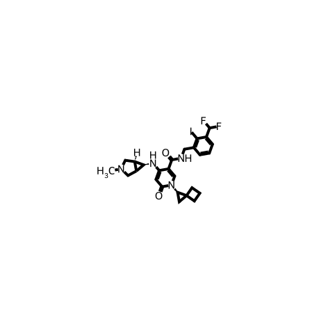 CN1CC2[C@@H](C1)[C@@H]2Nc1cc(=O)n([C@@H]2CC23CCC3)cc1C(=O)NCc1cccc(C(F)F)c1I